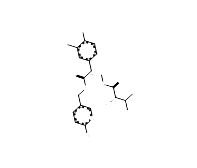 CC(C)[C@@H](O)C(=O)NC[C@H](C(=O)NCc1ccc(N)nc1)c1ccc(Cl)c(Cl)c1